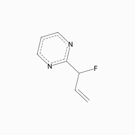 C=CC(F)c1ncccn1